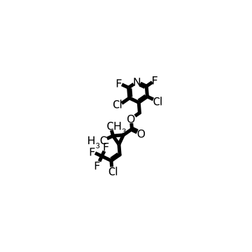 CC1(C)C(/C=C(/Cl)C(F)(F)F)C1C(=O)OCc1c(Cl)c(F)nc(F)c1Cl